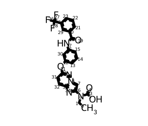 CCN(C(=O)O)c1cn2nc(Oc3cccc(NC(=O)c4cccc(C(F)(F)F)c4)c3)ccc2n1